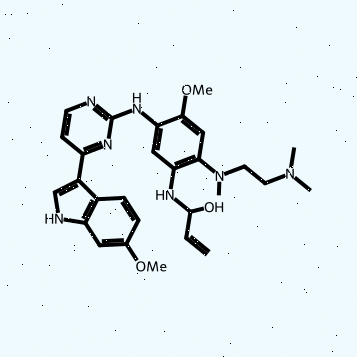 C=CC(O)Nc1cc(Nc2nccc(-c3c[nH]c4cc(OC)ccc34)n2)c(OC)cc1N(C)CCN(C)C